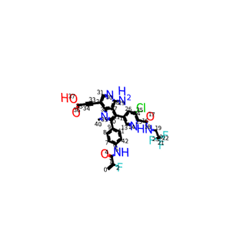 C=C(F)C(=O)Nc1ccc(-c2c(-c3cnc(C(=O)NCC(F)(F)F)c(Cl)c3)c3c(N)ncc(C#CC(=O)O)c3n2C)cc1